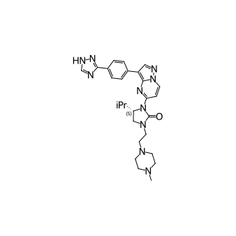 CC(C)[C@H]1CN(CCN2CCN(C)CC2)C(=O)N1c1ccn2ncc(-c3ccc(-c4nc[nH]n4)cc3)c2n1